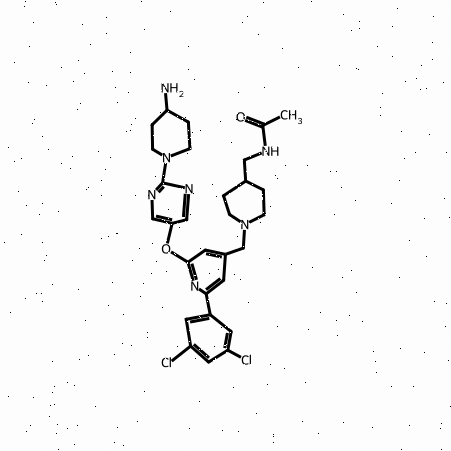 CC(=O)NCC1CCN(Cc2cc(Oc3cnc(N4CCC(N)CC4)nc3)nc(-c3cc(Cl)cc(Cl)c3)c2)CC1